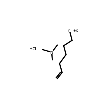 C=CCCCCCCCCCC.CN(C)C.Cl